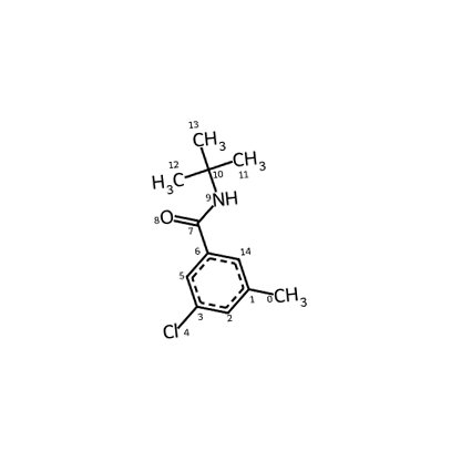 Cc1cc(Cl)cc(C(=O)NC(C)(C)C)c1